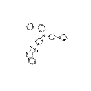 c1ccc(-c2ccc(N(c3ccc(-c4nc5ccc6ccccc6c5o4)cc3)c3cccc(-c4ccccc4)c3)cc2)cc1